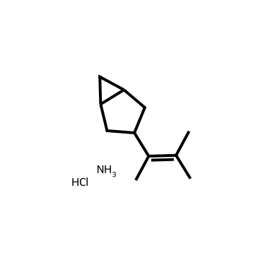 CC(C)=C(C)C1CC2CC2C1.Cl.N